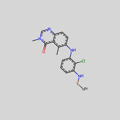 CCCSNc1cccc(Nc2ccc3ncn(C)c(=O)c3c2C)c1Cl